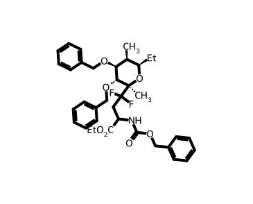 CCOC(=O)C(CC(F)(F)[C@]1(C)O[C@H](CC)[C@H](C)[C@H](OCc2ccccc2)[C@H]1OCc1ccccc1)NC(=O)OCc1ccccc1